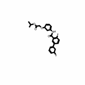 CC(C)OC(=O)COC1C=CC=C(NC(=O)c2cc(C3=CC=CC(F)C3)ccc2F)C1